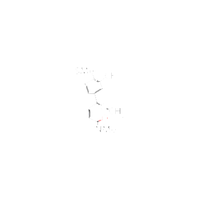 C=C=C(/C=C\C(=O)NC)c1ccc(SC)c(C(F)(F)F)c1